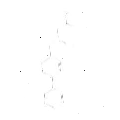 C=S(CC(N)=O)Cc1ccc(-c2ccccc2)cc1